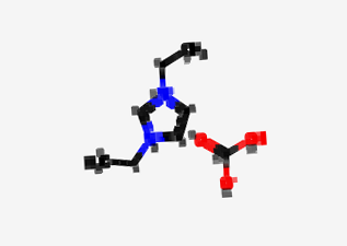 CCn1cc[n+](CC)c1.O=C([O-])O